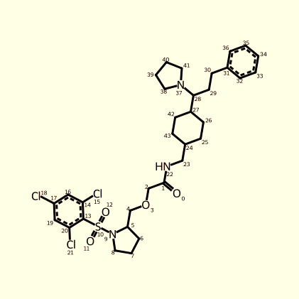 O=C(COCC1CCCN1S(=O)(=O)c1c(Cl)cc(Cl)cc1Cl)NCC1CCC(C(CCc2ccccc2)N2CCCC2)CC1